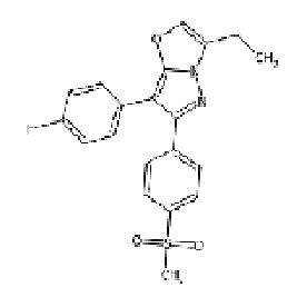 CCc1coc2c(-c3ccc(F)cc3)c(-c3ccc(S(C)(=O)=O)cc3)nn12